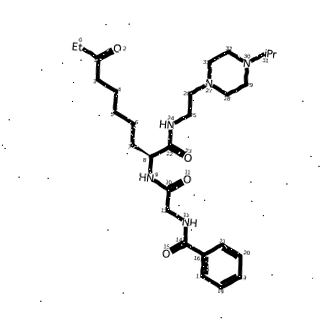 CCC(=O)CCCCC[C@H](NC(=O)CNC(=O)c1ccccc1)C(=O)NCCN1CCN(C(C)C)CC1